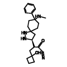 CNC1(c2ccccc2)CCC2(CC1)C[C@@H](C(CC1(O)CCC1)C(=O)C#N)NN2